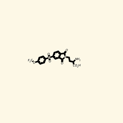 NC(CCN1C(=O)c2ccc(S(=O)(=O)c3ccc(OC(F)(F)F)cc3)cc2C1=O)C(=O)O